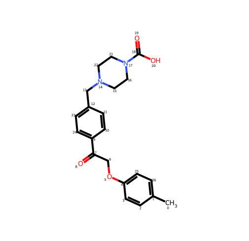 Cc1ccc(OCC(=O)c2ccc(CN3CCN(C(=O)O)CC3)cc2)cc1